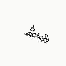 COc1ncnc2sc(NC(=O)N3CCC4(CC3)C(=O)NC[C@@H]4c3ccc(F)cc3)nc12